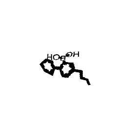 CCCCc1ccc(-c2ccccc2)c(B(O)O)c1